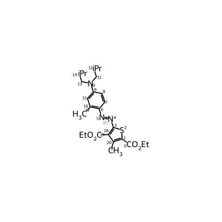 CCOC(=O)c1sc(/N=N/c2ccc(N(CC(C)C)CC(C)C)cc2C)c(C(=O)OCC)c1C